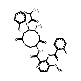 COc1ccnc(C(=O)N[C@H]2COC(=O)[C@H](Cc3ccccc3)[C@@H](OC(=O)C(C)C)[C@H](C)OC2=O)c1OC(=O)c1ccccc1F